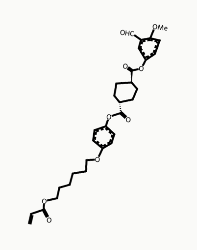 C=CC(=O)OCCCCCCOc1ccc(OC(=O)[C@H]2CC[C@H](C(=O)Oc3ccc(OC)c(C=O)c3)CC2)cc1